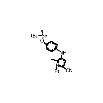 CCn1c(C#N)cc(Nc2ccc(O[Si](C)(C)C(C)(C)C)cc2)c1C